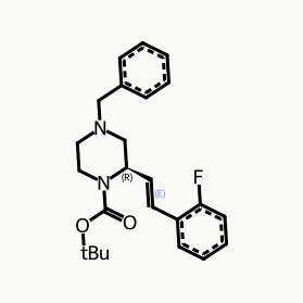 CC(C)(C)OC(=O)N1CCN(Cc2ccccc2)C[C@H]1/C=C/c1ccccc1F